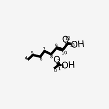 CC(=O)O.CCCCCC=CC(=O)O